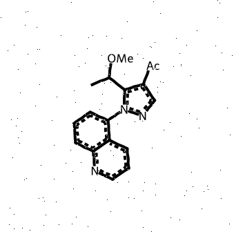 COC(C)c1c(C(C)=O)cnn1-c1cccc2ncccc12